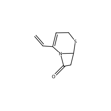 C=CC1=CCSC2CC(=O)N12